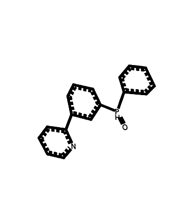 O=[PH](c1ccccc1)c1cccc(-c2ccccn2)c1